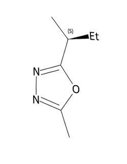 CC[C@H](C)c1nnc(C)o1